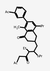 CCCC(CC1CC(=O)c2c(C)c(-c3cccc(C(C)=O)c3)cc(C(C)C)c2C1)C(CC)C(=O)CC(C)=O